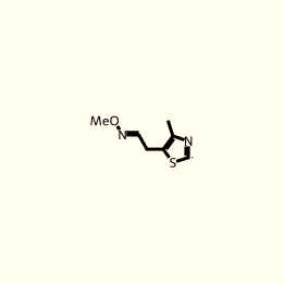 CON=CCc1s[c]nc1C